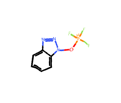 F[PH](F)(F)On1nnc2ccccc21